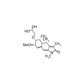 CO[C@@H]1C=C2C=C3C(=C(C)C(=O)N3C)C[C@]2(C)[C@@H](C)[C@H]1OCC(O)O